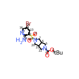 CC(C)(C)OC(=O)N1CC2CN(S(=O)(=O)c3cc(Br)cnc3N)CC2C1